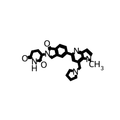 Cn1ccc2nc(-c3ccc4c(c3)CN(C3CCC(=O)NC3=O)C4=O)cc(CN3CCCC3)c21